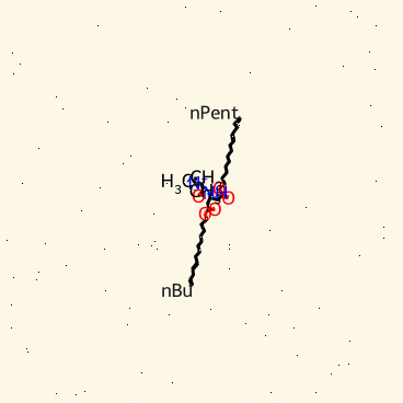 CCCCC=CCC=CCCCCCCCCOC(=O)CC(CC(=O)OCCCCCCCCC=CCC=CCCCCC)NC(=O)C[N+](C)(C)C